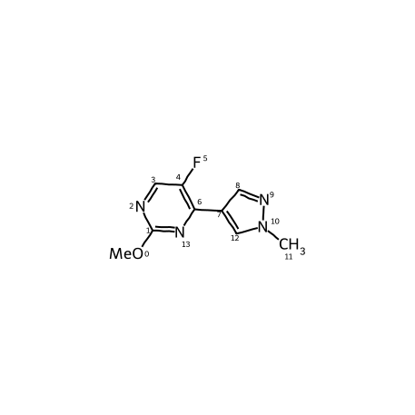 COc1ncc(F)c(-c2cnn(C)c2)n1